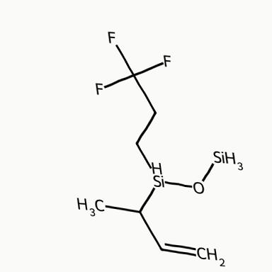 C=CC(C)[SiH](CCC(F)(F)F)O[SiH3]